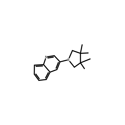 CC1(C)CB(c2cnc3ccccc3c2)CC1(C)C